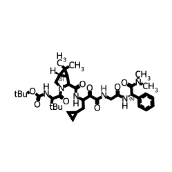 CN(C)C(=O)[C@@H](NC(=O)CNC(=O)C(=O)C(CC1CC1)NC(=O)C1C2[C@H](CN1C(=O)C(NC(=O)OC(C)(C)C)C(C)(C)C)C2(C)C)c1ccccc1